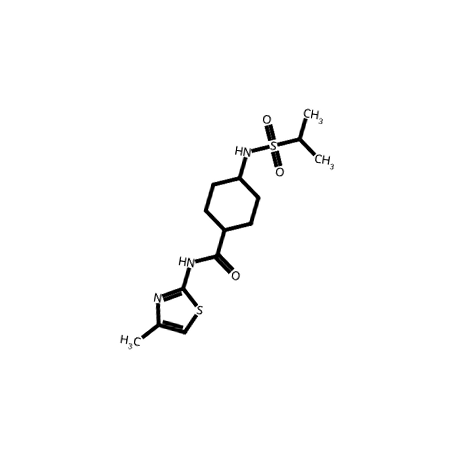 Cc1csc(NC(=O)C2CCC(NS(=O)(=O)C(C)C)CC2)n1